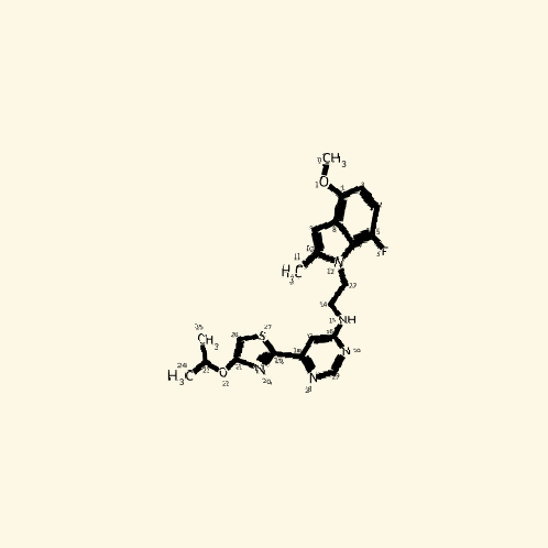 COc1ccc(F)c2c1cc(C)n2CCNc1cc(-c2nc(OC(C)C)cs2)ncn1